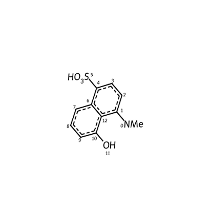 CNc1ccc(S(=O)(=O)O)c2cccc(O)c12